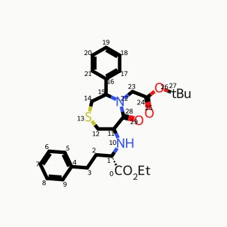 CCOC(=O)[C@H](CCc1ccccc1)NC1CSCC(c2ccccc2)N(CC(=O)OC(C)(C)C)C1=O